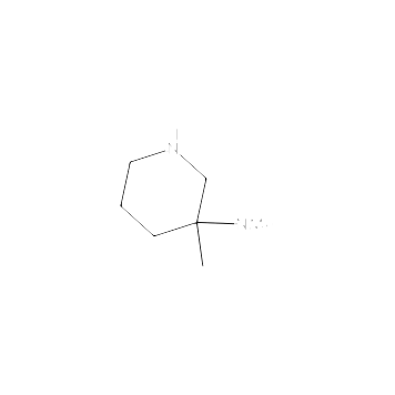 CNC1(C)CCCNC1